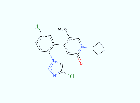 COc1cn(C2[CH]CC2)c(=O)cc1-c1cc(Cl)ccc1-n1cc(Cl)nn1